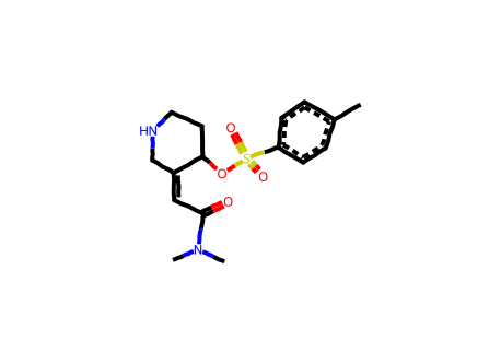 Cc1ccc(S(=O)(=O)OC2CCNC/C2=C/C(=O)N(C)C)cc1